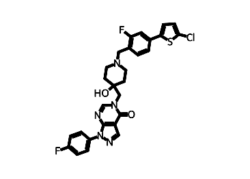 O=c1c2cnn(-c3ccc(F)cc3)c2ncn1CC1(O)CCN(Cc2ccc(-c3ccc(Cl)s3)cc2F)CC1